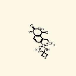 CCc1c(S(=O)(=O)NC2(C)CSC2)ccc2[nH]c(=O)[nH]c(=O)c12